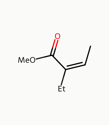 C/C=C(/CC)C(=O)OC